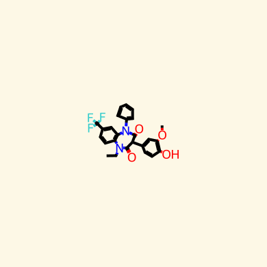 CCN1C(=O)C(c2ccc(O)c(OC)c2)C(=O)N(c2ccccc2)c2cc(C(F)(F)F)ccc21